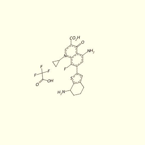 Nc1cc(-c2cc3c(s2)C(N)CCC3)c(F)c2c1c(=O)c(C(=O)O)cn2C1CC1.O=C(O)C(F)(F)F